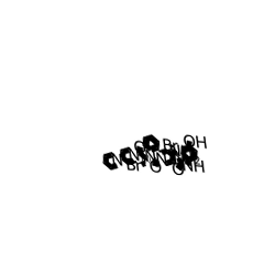 NC1(n2c(=O)[nH]c3ccc(O)cc32)CCN(C(=O)N(c2ccccc2)[C@@H](CBr)C(=O)N2CCC(N3CCCCC3)CC2)CC1Br